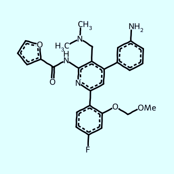 COCOc1cc(F)ccc1-c1cc(-c2cccc(N)c2)c(CN(C)C)c(NC(=O)c2ccco2)n1